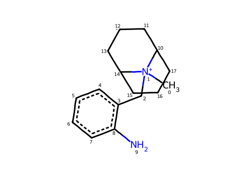 C[N+]1(Cc2ccccc2N)C2C[CH]CC1CCC2